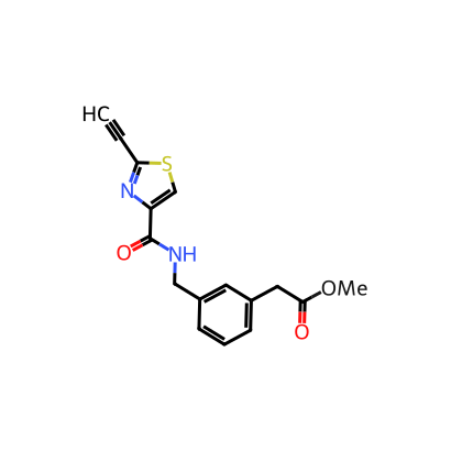 C#Cc1nc(C(=O)NCc2cccc(CC(=O)OC)c2)cs1